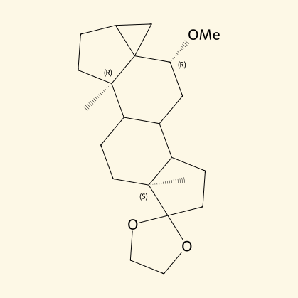 CO[C@@H]1CC2C3CCC4(OCCO4)[C@@]3(C)CCC2[C@@]2(C)CCC3CC312